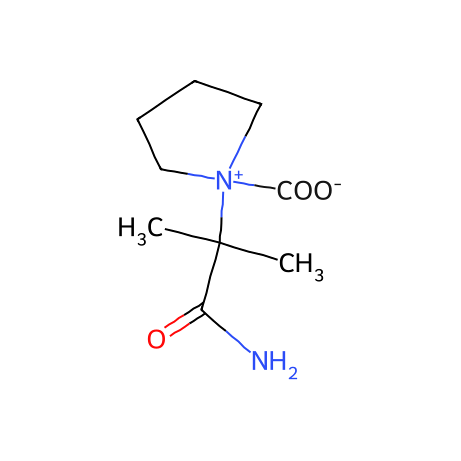 CC(C)(C(N)=O)[N+]1(C(=O)[O-])CCCC1